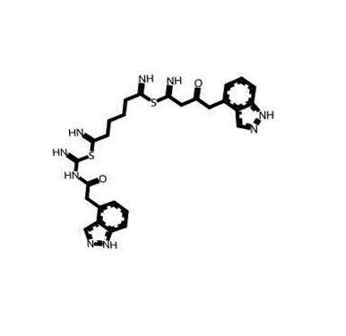 N=C(CCCCC(=N)SC(=N)NC(=O)Cc1cccc2[nH]ncc12)SC(=N)CC(=O)Cc1cccc2[nH]ncc12